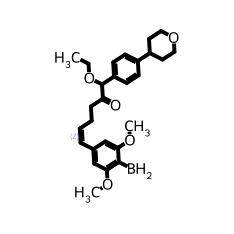 Bc1c(OC)cc(/C=C\CCC(=O)C(OCC)c2ccc(C3CCOCC3)cc2)cc1OC